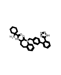 NC1(C(=O)NC2CCc3ccccc3N(Cc3ccc(-c4ccccc4-c4nnn[nH]4)cc3)C2=O)CCCCC1